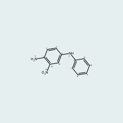 Nc1ccc(Nc2ccccc2)cc1[N+](=O)[O-]